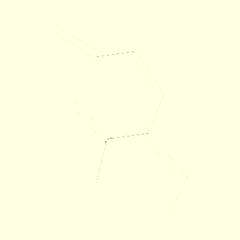 C=C/C=C\C(=C\C)C(=C)C